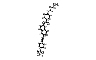 C=CC(=O)c1ccc(C#Cc2ccc3cc(OC(=O)C4CCC(CCCCC)CC4)ccc3c2)cc1